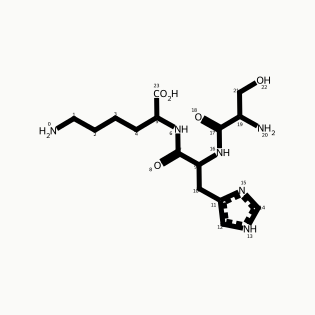 NCCCCC(NC(=O)C(Cc1c[nH]cn1)NC(=O)C(N)CO)C(=O)O